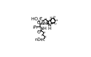 CCCCCCCCCCCCCC(=O)N[C@H](C(=O)N[C@@H](Cc1c[nH]c2ccccc12)C(=O)O)C(C)C